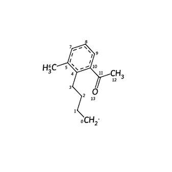 [CH2]CCCc1c(C)cccc1C(C)=O